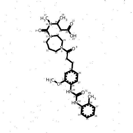 COc1cc(CCC(=O)N2CCCN(C(=O)N(C)C(C)CC(=O)O)CC2)ccc1NC(=O)Nc1ccccc1C